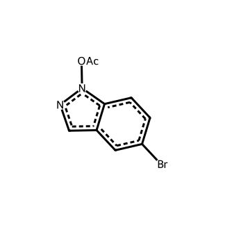 CC(=O)On1ncc2cc(Br)ccc21